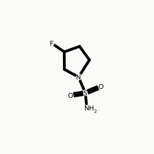 NS(=O)(=O)N1CCC(F)C1